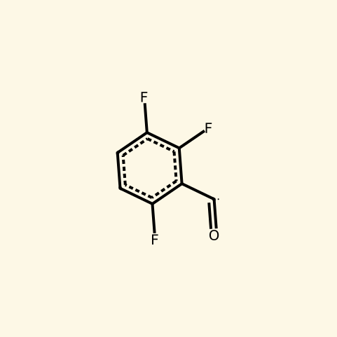 O=[C]c1c(F)ccc(F)c1F